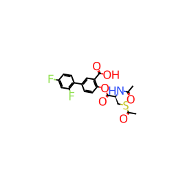 CC(=O)N[C@@H](CSC(C)=O)C(=O)Oc1ccc(-c2ccc(F)cc2F)cc1C(=O)O